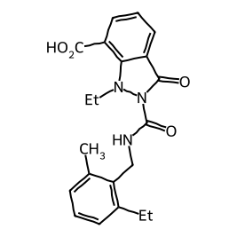 CCc1cccc(C)c1CNC(=O)n1c(=O)c2cccc(C(=O)O)c2n1CC